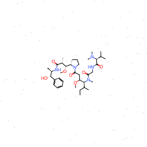 CCC(C)[C@@H](C(CC(=O)N1CCC[C@H]1[C@H](OC)[C@@H](C)C(=O)N[C@H](C)[C@@H](O)c1ccccc1)OC)N(C)C(=O)CNC(=O)[C@H](C(C)C)N(C)C